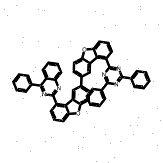 c1ccc(-c2nc(-c3ccccc3)nc(-c3cccc4oc5ccc(-c6ccc7oc8cccc(-c9nc(-c%10ccccc%10)c%10ccccc%10n9)c8c7c6)cc5c34)n2)cc1